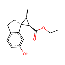 CCOC(=O)[C@@H]1[C@H](C)[C@@]12CCc1ccc(O)cc12